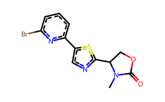 CN1C(=O)OCC1c1ncc(-c2cccc(Br)n2)s1